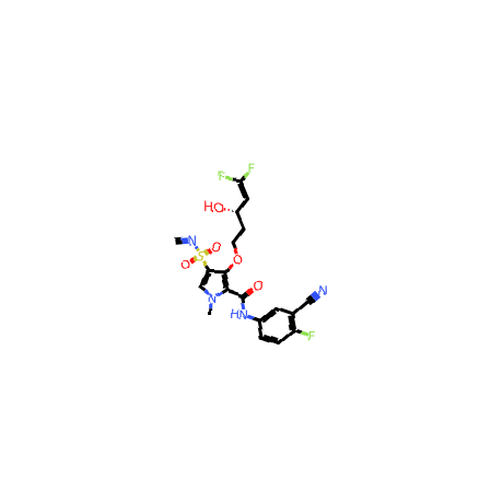 C=NS(=O)(=O)c1cn(C)c(C(=O)Nc2ccc(F)c(C#N)c2)c1OCC[C@H](O)C=C(F)F